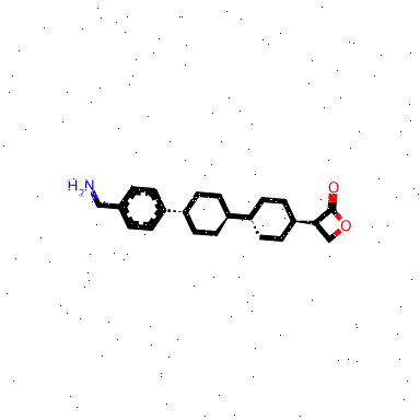 NCc1ccc([C@H]2CC[C@H]([C@H]3CC[C@H](C4COC4=O)CC3)CC2)cc1